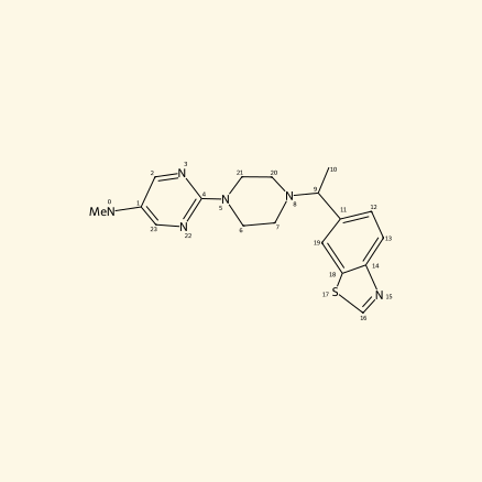 CNc1cnc(N2CCN(C(C)c3ccc4ncsc4c3)CC2)nc1